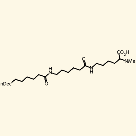 CCCCCCCCCCCCCCCC(=O)NCCCCCC(=O)NCCCCC(NC)C(=O)O